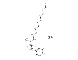 CCCCCCCCCCCCC(Br)C(C)(C)Oc1ccccc1.N